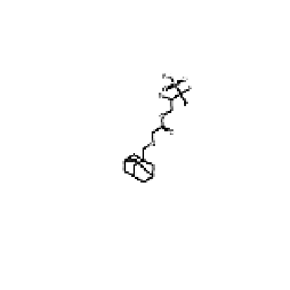 O=C(COCC12CC3CC(CC(C3)C1)C2)OCC(F)C(F)(F)S(=O)(=O)O